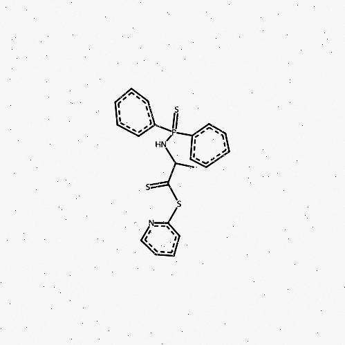 [CH2]C(NP(=S)(c1ccccc1)c1ccccc1)C(=S)Sc1ccccn1